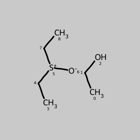 CCO.CC[S+]([O-])CC